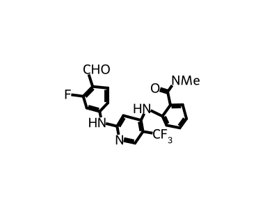 CNC(=O)c1ccccc1Nc1cc(Nc2ccc(C=O)c(F)c2)ncc1C(F)(F)F